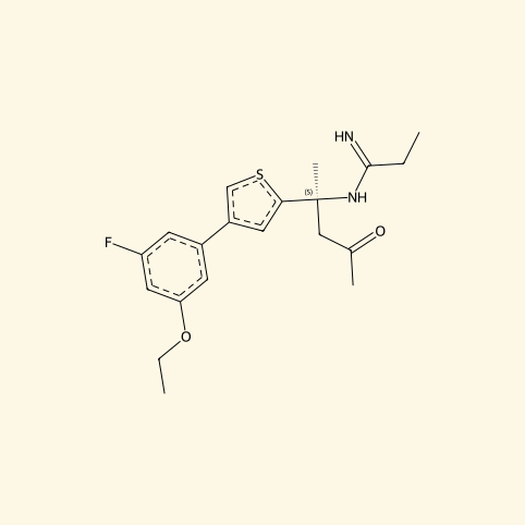 CCOc1cc(F)cc(-c2csc([C@](C)(CC(C)=O)NC(=N)CC)c2)c1